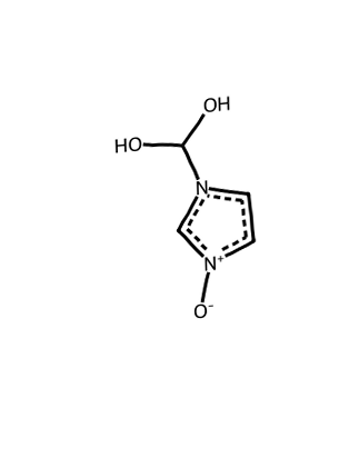 [O-][n+]1ccn(C(O)O)c1